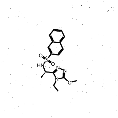 CCn1c(OC)nnc1[C@@H](C)NS(=O)(=O)c1ccc2ccccc2c1